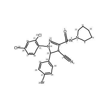 N#CC1C(C(=O)NN2CCCCC2)=NN(c2ccc(Cl)cc2Cl)C1c1ccc(Br)cc1